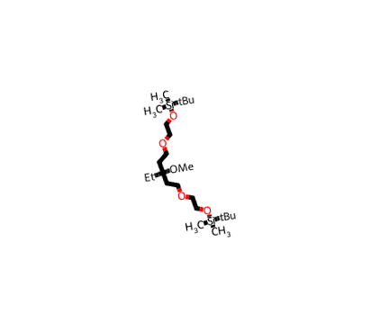 CCC(CCOCCO[Si](C)(C)C(C)(C)C)(CCOCCO[Si](C)(C)C(C)(C)C)OC